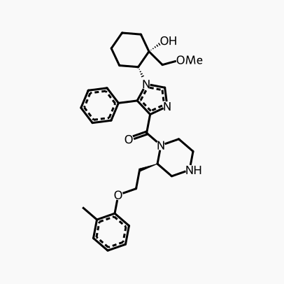 COC[C@]1(O)CCCC[C@H]1n1cnc(C(=O)N2CCNC[C@H]2CCOc2ccccc2C)c1-c1ccccc1